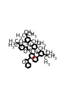 Cc1cc2c3c(c1)N(c1c(C)cc(C(C)(C)C)cc1C)c1c(oc4ccc(C(C)(C)C)cc14)B3c1cc(-c3coc4ccccc34)ccc1N2c1c(C)cc(C(C)(C)C)cc1-c1ccccc1